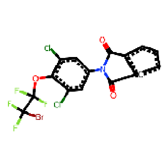 O=C1c2ccccc2C(=O)N1c1cc(Cl)c(OC(F)(F)C(F)(F)Br)c(Cl)c1